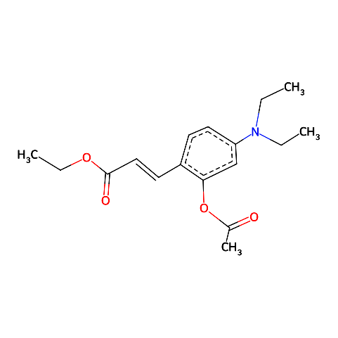 CCOC(=O)/C=C/c1ccc(N(CC)CC)cc1OC(C)=O